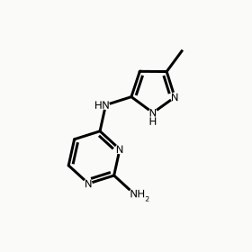 Cc1cc(Nc2ccnc(N)n2)[nH]n1